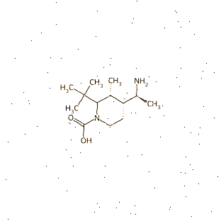 C[C@H](N)[C@@H]1CCN(C(=O)O)C(C(C)(C)C)[C@@H]1C